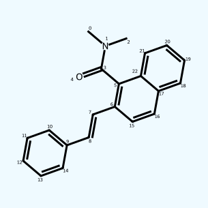 CN(C)C(=O)c1c(/C=C/c2ccccc2)ccc2ccccc12